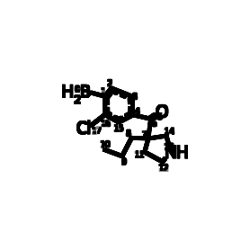 Bc1ccc(C(=O)C2(CCC)CCNC2)cc1Cl